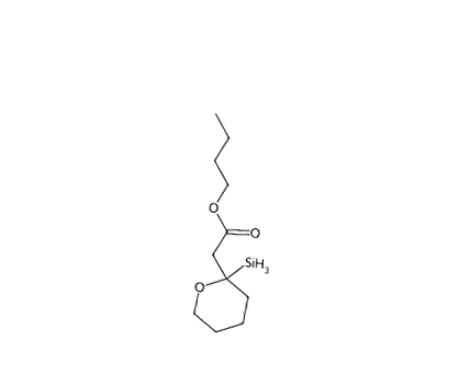 CCCCOC(=O)CC1([SiH3])CCCCO1